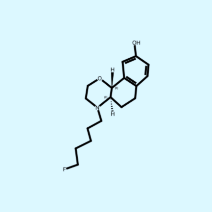 Oc1ccc2c(c1)[C@H]1OCCN(CCCCCF)[C@@H]1CC2